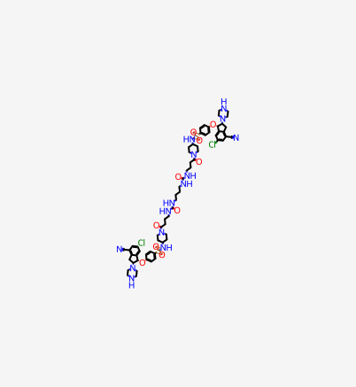 N#Cc1cc(Cl)cc2c1C[C@H](N1CCNCC1)[C@H]2Oc1ccc(S(=O)(=O)NC2CCN(C(=O)CCCNC(=O)NCCCCNC(=O)NCCCC(=O)N3CCC(NS(=O)(=O)c4ccc(O[C@H]5c6cc(Cl)cc(C#N)c6C[C@@H]5N5CCNCC5)cc4)CC3)CC2)cc1